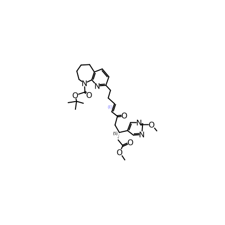 COC(=O)C[C@H](CC(=O)/C=C/CCc1ccc2c(n1)N(C(=O)OC(C)(C)C)CCCC2)c1cnc(OC)nc1